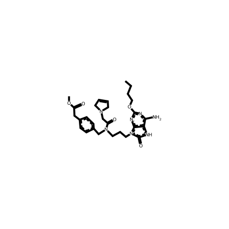 CCCCOc1nc(N)c2[nH]c(=O)n(CCCN(Cc3ccc(CC(=O)OC)cc3)C(=O)CN3CC=CC3)c2n1